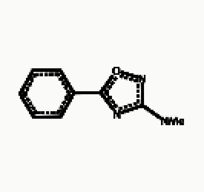 CNc1noc(-c2ccccc2)n1